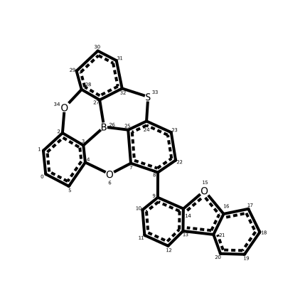 c1cc2c3c(c1)Oc1c(-c4cccc5c4oc4ccccc45)ccc4c1B3c1c(cccc1S4)O2